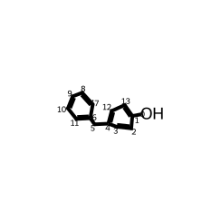 Oc1ccc(Cc2[c]cccc2)cc1